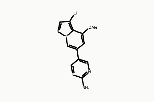 COc1cc(-c2cnc(N)nc2)cn2ncc(Cl)c12